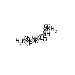 CC(C)(CN[C@H]1CCN(c2cnc(Sc3ccnc(N)c3Cl)cn2)Cc2ccccc21)[S+](N)[O-]